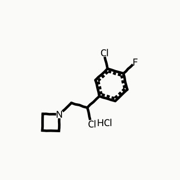 Cl.Fc1ccc(C(Cl)CN2CCC2)cc1Cl